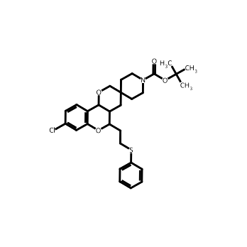 CC(C)(C)OC(=O)N1CCC2(CC1)COC1c3ccc(Cl)cc3OC(CCSc3ccccc3)C1C2